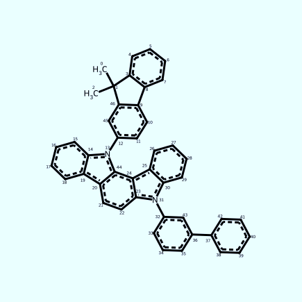 CC1(C)c2ccccc2-c2ccc(-n3c4ccccc4c4ccc5c(c6ccccc6n5-c5cccc(-c6ccccc6)c5)c43)cc21